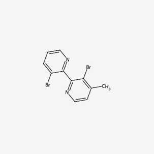 Cc1ccnc(-c2ncccc2Br)c1Br